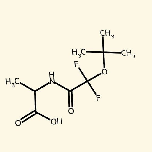 CC(NC(=O)C(F)(F)OC(C)(C)C)C(=O)O